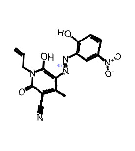 C=CCn1c(O)c(/N=N/c2cc([N+](=O)[O-])ccc2O)c(C)c(C#N)c1=O